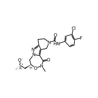 CN1O[C@@H](C[S@+](C)[O-])Cn2nc3c(c2C1=O)CN(C(=O)Nc1ccc(F)c(Cl)c1)CC3